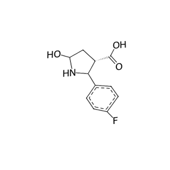 O=C(O)[C@H]1CC(O)NC1c1ccc(F)cc1